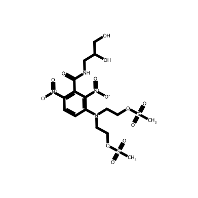 CS(=O)(=O)OCCN(CCOS(C)(=O)=O)c1ccc([N+](=O)[O-])c(C(=O)NCC(O)CO)c1[N+](=O)[O-]